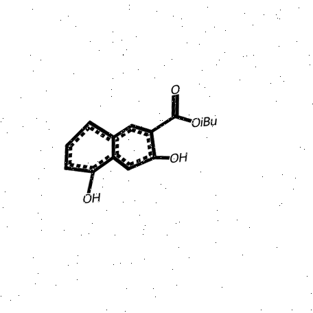 CC(C)COC(=O)c1cc2cccc(O)c2cc1O